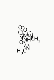 Cc1cc(C(=O)Nc2nc3ccc4c(c3n2[C@@H]2CCCCN(C)C2)OCCO4)ccn1